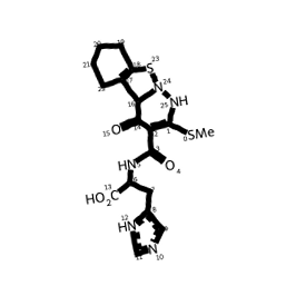 CSC1=C(C(=O)NC(Cc2cnc[nH]2)C(=O)O)C(=O)C2C3=C(CCCC3)SN2N1